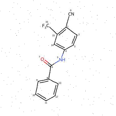 N#Cc1ccc(NC(=O)c2ccccc2)cc1C(F)(F)F